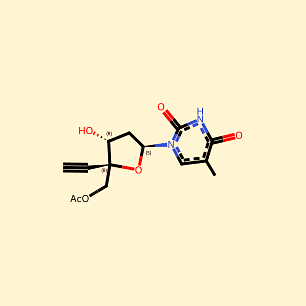 C#C[C@]1(COC(C)=O)O[C@H](n2cc(C)c(=O)[nH]c2=O)C[C@H]1O